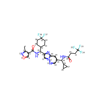 Cc1nocc1C(=O)N[C@H](c1cn2ncc(C(NC(=O)CCC(F)(F)F)C3CC3)cc2n1)C1CCC(F)(F)CC1